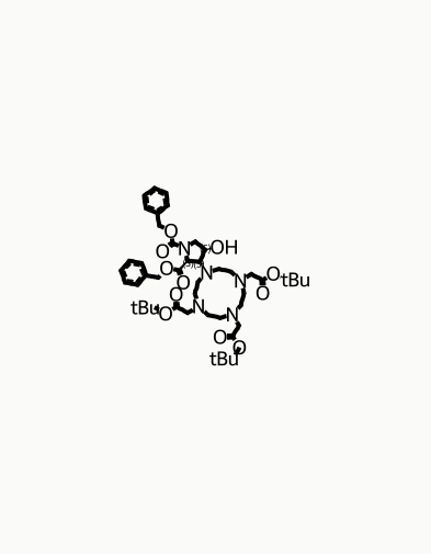 CC(C)(C)OC(=O)CN1CCN(CC(=O)OC(C)(C)C)CCN([C@H]2[C@@H](C(=O)OCc3ccccc3)N(C(=O)OCc3ccccc3)C[C@@H]2O)CCN(CC(=O)OC(C)(C)C)CC1